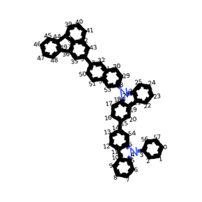 c1ccc(-n2c3ccccc3c3ccc(-c4ccc5c(c4)c4ccccc4n5-c4ccc5cc(-c6cc7c8c(cccc8c6)-c6ccccc6-7)ccc5c4)cc32)cc1